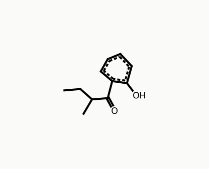 CCC(C)C(=O)c1ccccc1O